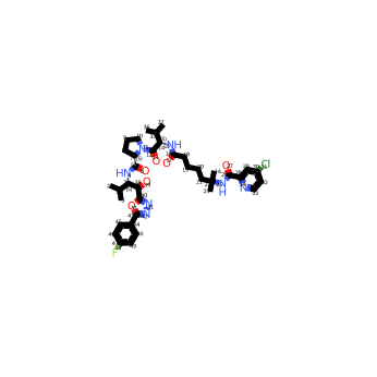 CC(C)[C@H](NC(=O)[C@@H]1CCCN1C(=O)[C@@H](NC(=O)CCCCC(C)(C)NC(=O)c1cc(Cl)ccn1)C(C)C)C(=O)c1nnc(-c2ccc(F)cc2)o1